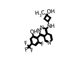 C[C@]1(O)C[C@@H](Nc2nnc(-c3c(O)cc(C(F)(F)F)cc3F)c3cnccc23)C1